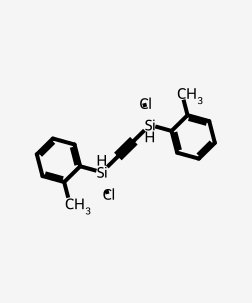 Cc1ccccc1[SiH](Cl)C#C[SiH](Cl)c1ccccc1C